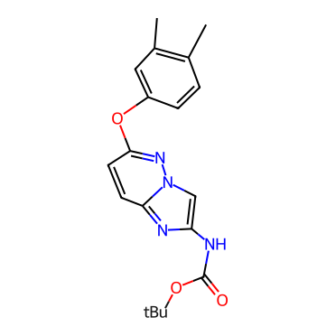 Cc1ccc(Oc2ccc3nc(NC(=O)OC(C)(C)C)cn3n2)cc1C